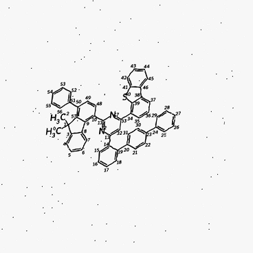 CC1(C)c2ccccc2-c2c(-c3nc(-c4ccccc4-c4ccc(-c5ccccc5)cc4)cc(-c4cccc5c4sc4ccccc45)n3)ccc(-c3ccccc3)c21